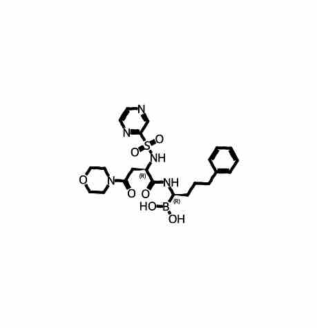 O=C(N[C@@H](CCCc1ccccc1)B(O)O)[C@@H](CC(=O)N1CCOCC1)NS(=O)(=O)c1cnccn1